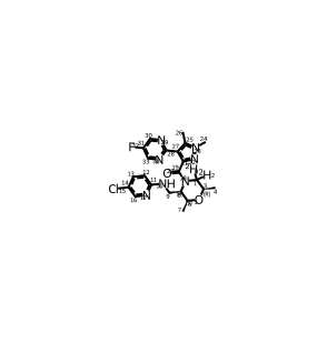 [2H]C1([2H])[C@@H](C)O[C@@H](C)[C@@H](CNc2ccc(Cl)cn2)N1C(=O)c1nn(C)c(C)c1-c1ncc(F)cn1